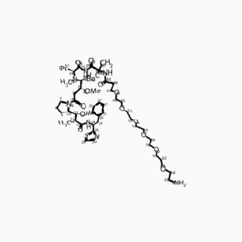 CC[C@H](C)[C@@H]([C@@H](CC(=O)N1CCC[C@H]1[C@H](OC)[C@@H](C)C(=O)N[C@@H](Cc1ccccc1)c1nccs1)OC)N(C)[C@H](C(=O)NC(=O)C(C)(C)NC(=O)CCOCCOCCOCCOCCOCCOCCN)C(C)C